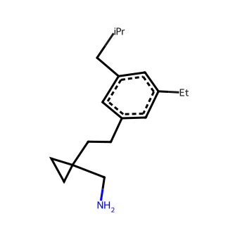 CCc1cc(CCC2(CN)CC2)cc(CC(C)C)c1